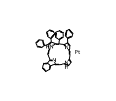 C1=C(c2ccccc2)c2nc1cc1ccc(cc3nc(cc4[nH]c(c2-c2ccccc2)c(-c2ccccc2)c4-c2ccccc2)-c2ccccc2-3)[nH]1.[Pt]